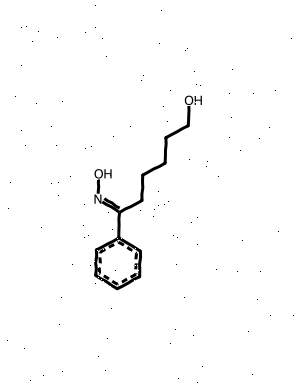 OCCCCCC(=NO)c1ccccc1